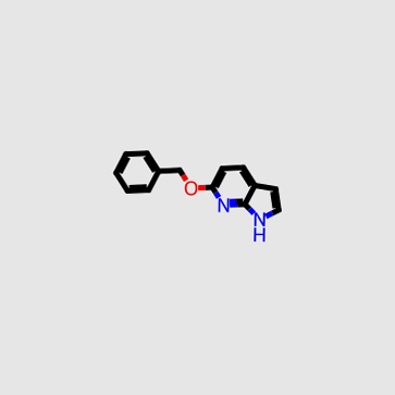 c1ccc(COc2ccc3cc[nH]c3n2)cc1